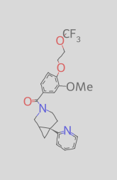 COc1cc(C(=O)N2CC[C@]3(c4ccccn4)CC3C2)ccc1OCCOC(F)(F)F